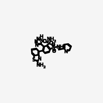 Nc1nc2c(-c3ccc(S(=O)(=O)NCc4ccccn4)c(S(N)(=O)=O)c3-c3nnn[nH]3)cccc2s1